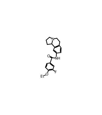 CCOc1ccc(C(=O)Nc2ccc3c(c2)C2CCCN2CC3)cc1F